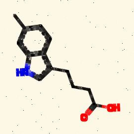 Cc1ccc2c(CCCC(=O)O)c[nH]c2c1